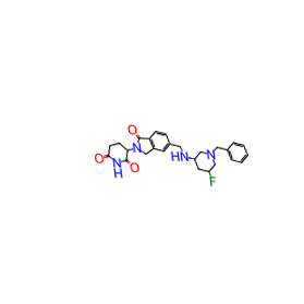 O=C1CCC(N2Cc3cc(CN[C@@H]4C[C@H](F)CN(Cc5ccccc5)C4)ccc3C2=O)C(=O)N1